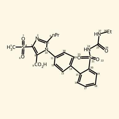 CCCc1nc(S(C)(=O)=O)c(C(=O)O)n1-c1ccc(-c2ccccc2S(=O)(=O)NC(=O)NCC)cc1